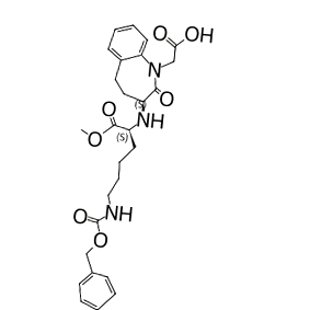 COC(=O)[C@H](CCCCNC(=O)OCc1ccccc1)N[C@H]1CCc2ccccc2N(CC(=O)O)C1=O